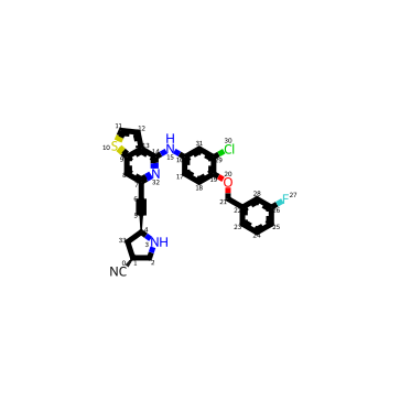 N#C[C@@H]1CN[C@H](C#Cc2cc3sccc3c(Nc3ccc(OCc4cccc(F)c4)c(Cl)c3)n2)C1